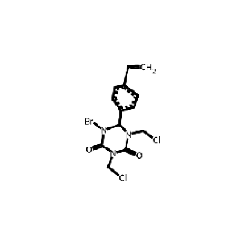 C=Cc1ccc(C2N(Br)C(=O)N(CCl)C(=O)N2CCl)cc1